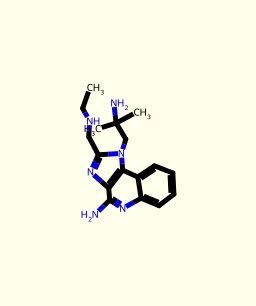 CCNCc1nc2c(N)nc3ccccc3c2n1CC(C)(C)N